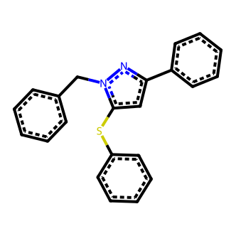 c1ccc(Cn2nc(-c3ccccc3)cc2Sc2ccccc2)cc1